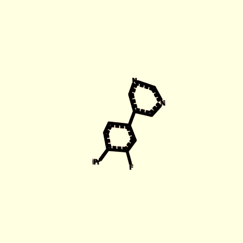 CC(C)c1ccc(-c2cncnc2)cc1F